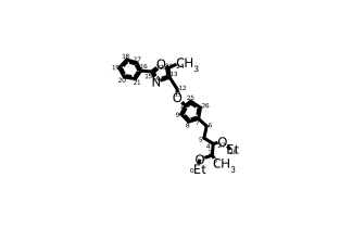 CCOC(C)C(CCc1ccc(OCc2nc(-c3ccccc3)oc2C)cc1)OCC